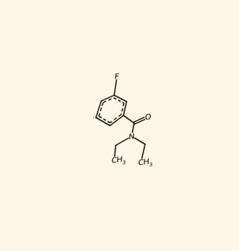 CCN(CC)C(=O)c1c[c]cc(F)c1